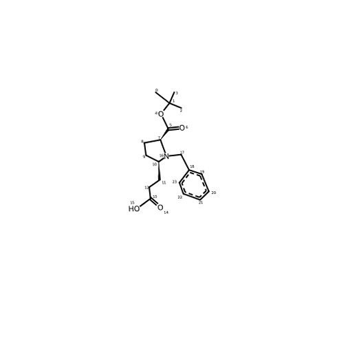 CC(C)(C)OC(=O)[C@@H]1CC[C@H](CCC(=O)O)N1Cc1ccccc1